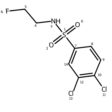 O=S(=O)(NCCF)c1ccc(Cl)c(Cl)c1